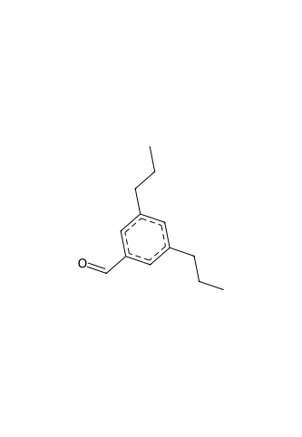 CCCc1cc(C=O)cc(CCC)c1